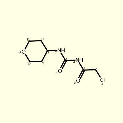 O=C(CCl)NC(=O)NC1CCOCC1